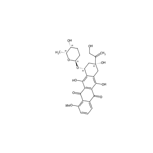 C=C(CO)[C@@]1(O)Cc2c(O)c3c(c(O)c2[C@H](O[C@@H]2CC[C@@H](O)[C@@H](C)O2)C1)C(=O)c1c(OC)cccc1C3=O